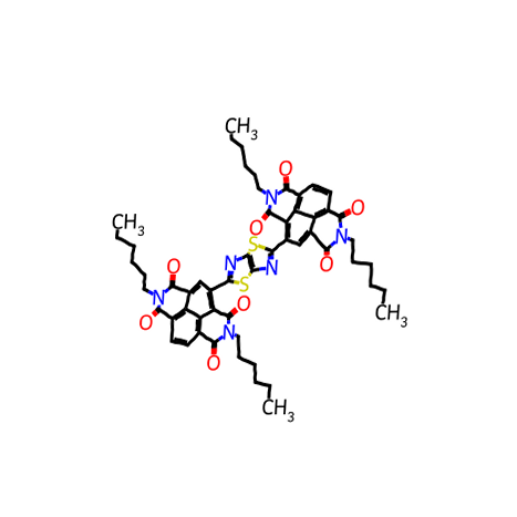 CCCCCCN1C(=O)c2ccc3c4c(c(-c5nc6sc(-c7cc8c9c(ccc%10c9c7C(=O)N(CCCCCC)C%10=O)C(=O)N(CCCCCC)C8=O)nc6s5)cc(c24)C1=O)C(=O)N(CCCCCC)C3=O